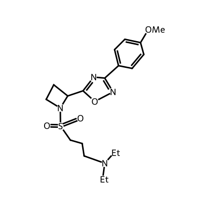 CCN(CC)CCCS(=O)(=O)N1CCC1c1nc(-c2ccc(OC)cc2)no1